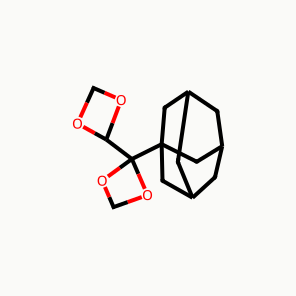 C1OC(C2(C34CC5CC(CC(C5)C3)C4)OCO2)O1